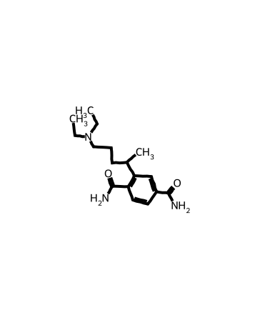 CCN(CC)CCCC(C)c1cc(C(N)=O)ccc1C(N)=O